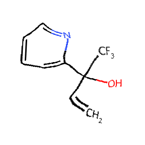 C=CC(O)(c1ccccn1)C(F)(F)F